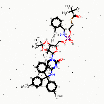 CCC(C)(C)C(=O)SCCOP(=O)(NCc1ccccc1C(F)(F)F)OC[C@H]1O[C@@H](n2ccc(NC(c3ccccc3)(c3ccc(OC)cc3)c3ccc(OC)cc3)nc2=O)C2(C)OC(C)(C)O[C@@H]12